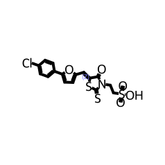 O=C1/C(=C/c2ccc(-c3ccc(Cl)cc3)o2)SC(=S)N1CCS(=O)(=O)O